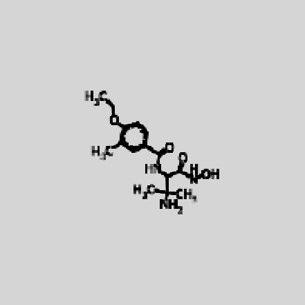 CCOc1ccc(C(=O)NC(C(=O)NO)C(C)(C)N)cc1C